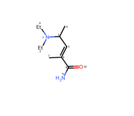 CCN(CC)C(C)/C=C(\C)C(N)=O